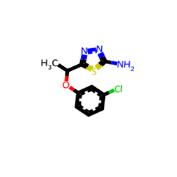 CC(Oc1cccc(Cl)c1)c1nnc(N)s1